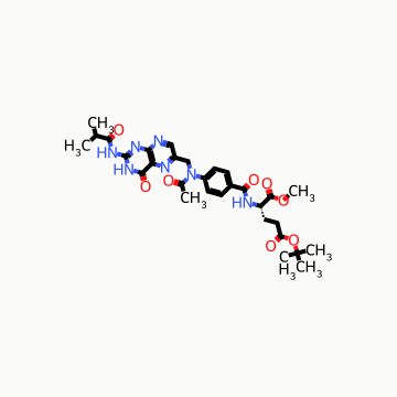 COC(=O)[C@H](CCC(=O)OC(C)(C)C)NC(=O)c1ccc(N(Cc2cnc3nc(NC(=O)C(C)C)[nH]c(=O)c3n2)C(C)=O)cc1